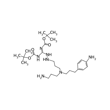 CC(C)(C)OC(=O)/N=C(\NNCCCN(CCCN)CCCc1ccc(N)cc1)NC(=O)OC(C)(C)C